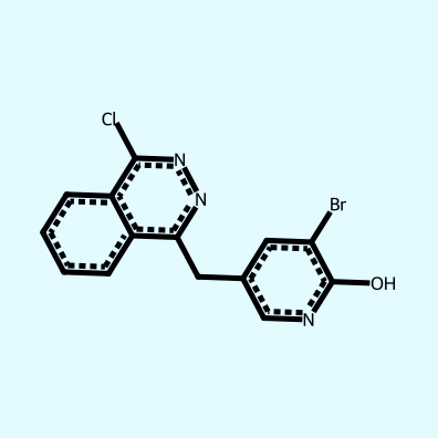 Oc1ncc(Cc2nnc(Cl)c3ccccc23)cc1Br